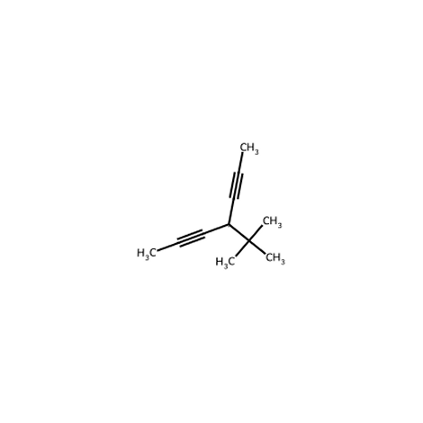 CC#C[C](C#CC)C(C)(C)C